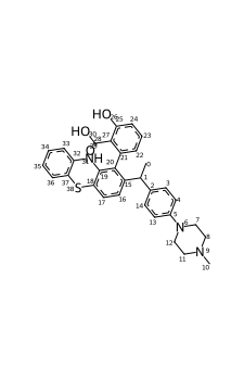 CC(c1ccc(N2CCN(C)CC2)cc1)c1ccc2c(c1-c1cccc(O)c1C(=O)O)Nc1ccccc1S2